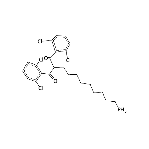 O=C(c1c(Cl)cccc1Cl)C(CCCCCCCCCP)C(=O)c1c(Cl)cccc1Cl